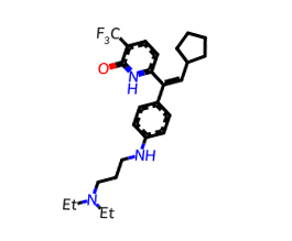 CCN(CC)CCCNc1ccc(C(=CC2CCCC2)c2ccc(C(F)(F)F)c(=O)[nH]2)cc1